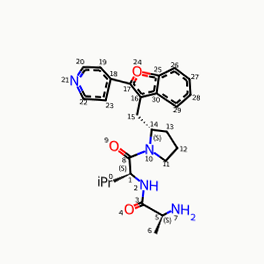 CC(C)[C@H](NC(=O)[C@H](C)N)C(=O)N1CCC[C@H]1Cc1c(-c2ccncc2)oc2ccccc12